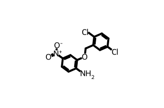 Nc1ccc([N+](=O)[O-])cc1OCc1cc(Cl)ccc1Cl